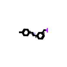 CC1=CC[C@@H](/C=C/[C@@H]2CC=C[C@H](CI)C2)CC1